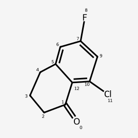 O=C1CCCc2cc(F)cc(Cl)c21